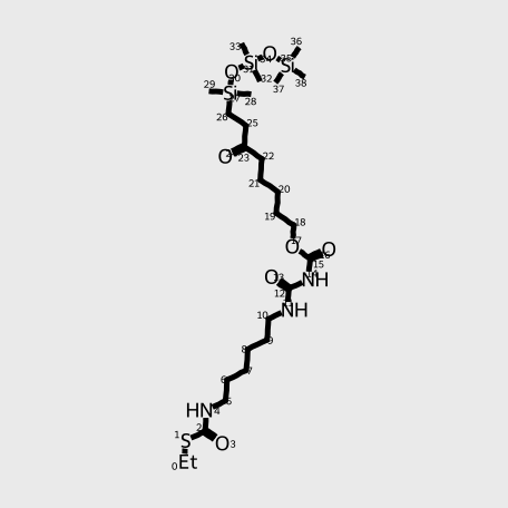 CCSC(=O)NCCCCCCNC(=O)NC(=O)OCCCCCC(=O)CC[Si](C)(C)O[Si](C)(C)O[Si](C)(C)C